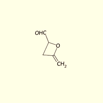 C=C1CC(C=O)O1